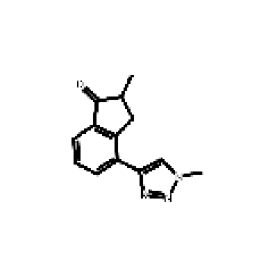 CC1Cc2c(cccc2-c2cn(C)nn2)C1=O